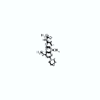 COc1nc(N2CCOCC2)nc(OC)c1Sc1nccc(NC(C)=O)n1